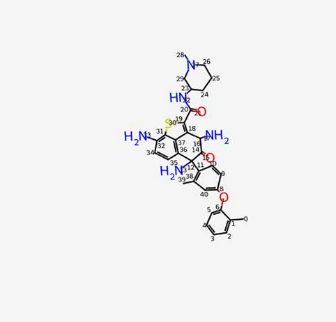 Cc1ccccc1Oc1ccc(C2(N)C(=O)C(N)c3c(C(=O)NC4CCCN(C)C4)sc4c(N)ccc2c34)c(C)c1